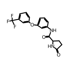 O=C1CCC(C(=O)Nc2cccc(Oc3cccc(C(F)(F)F)c3)c2)N1